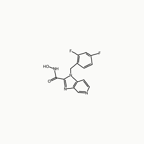 O=C(NO)c1nc2cnccc2n1Cc1ccc(F)cc1F